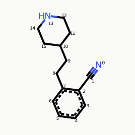 N#Cc1ccccc1CCC1CCNCC1